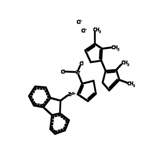 CC1=CCC(C2=C(C)C(C)=CC2)=C1C.[Cl-].[Cl-].[Cl][Zr]([Cl])[C]1=CC=CC1.[Zr+2][CH]1c2ccccc2-c2ccccc21